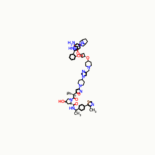 Cc1ncsc1-c1ccc([C@H](C)NC(=O)[C@@H]2C[C@@H](O)CN2C(=O)[C@H](c2cc(N3CCC(n4cnc(CN5CCC(O[C@H]6C[C@H](Oc7cc(N8C9CCC8CN(c8cc(-c%10ccccc%10O)[nH]c8N)C9)ccn7)C6)CC5)c4)CC3)no2)C(C)C)cc1